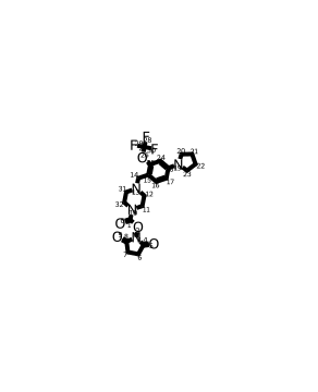 O=C(ON1C(=O)CCC1=O)N1CCN(Cc2ccc(N3CCCC3)cc2OC(F)(F)F)CC1